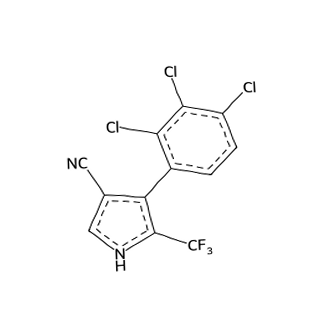 N#Cc1c[nH]c(C(F)(F)F)c1-c1ccc(Cl)c(Cl)c1Cl